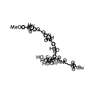 COc1ccc(C2=CN3C(=O)c4ccc(OCCCOc5ccc6c(c5)N=C[C@@H]5CC(c7ccc(CNC(=O)OCc8ccc(O[C@@H]9OC(C(=O)O)[C@@H](O)[C@H](O)C9O)c(NC(=O)CCNC(=O)CCCCCN9C(=O)CC(C(C)(C)C)C9=O)c8)cc7)=CN5C6=O)cc4N=C[C@@H]3C2)cc1